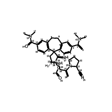 C=C(c1ccc2c(c1)CCc1cc(C(=O)N(C)C)ccc1C2(C[C@@H](C)NCC(=C)N1CCCC1C#N)C(=N)NOC=O)N(C)C